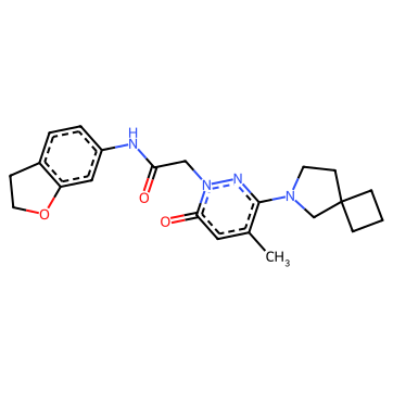 Cc1cc(=O)n(CC(=O)Nc2ccc3c(c2)OCC3)nc1N1CCC2(CCC2)C1